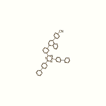 N#Cc1ccc(-c2ccc(-c3cccc(-c4nc(-c5ccc(-c6ccccc6)cc5)nc(-c5ccc(-c6ccccc6)cc5)n4)c3)c3ccccc23)cc1